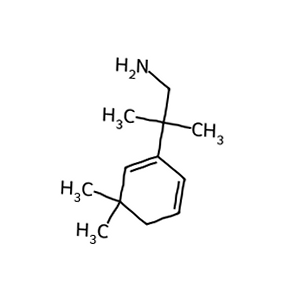 CC1(C)C=C(C(C)(C)CN)C=CC1